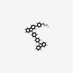 C=Cc1ccc(-c2ccc3c4ccccc4n(-c4ccc(-c5ccc(-n6c7ccccc7c7ccccc76)cc5)cc4)c3c2)cc1